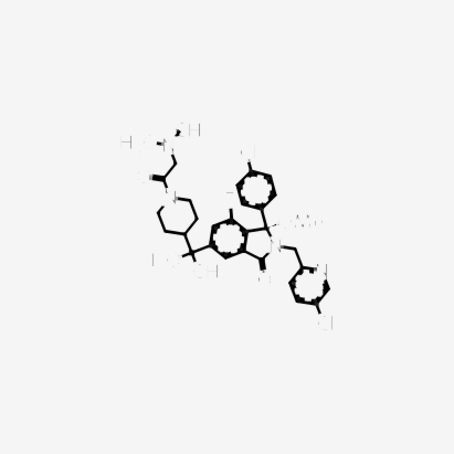 CO[C@]1(c2ccc(Cl)cc2)c2c(F)cc(C(C)(O)C3CCN(C(=O)CN(C)C)CC3)cc2C(=O)N1Cc1ccc(Cl)cn1